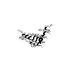 N=C(N)NCCCC(N)C(=O)O.N=C(N)NCCCC(N)C(=O)O.NC(=O)CCC(N)C(=O)O.NC(CCC(=O)O)C(=O)O.NC(CCC(=O)O)C(=O)O.NC(CCC(=O)O)C(=O)O.NC(CO)C(=O)O.NC(Cc1c[nH]c2ccccc12)C(=O)O